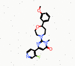 COc1cccc(C2CCN(c3nc(-c4ccncc4F)cc(=O)n3C)CCO2)c1